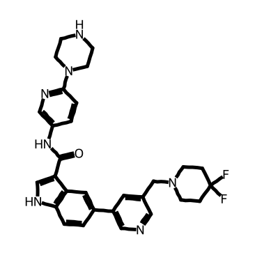 O=C(Nc1ccc(N2CCNCC2)nc1)c1c[nH]c2ccc(-c3cncc(CN4CCC(F)(F)CC4)c3)cc12